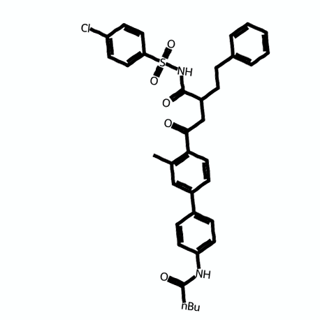 CCCCC(=O)Nc1ccc(-c2ccc(C(=O)CC(CCc3ccccc3)C(=O)NS(=O)(=O)c3ccc(Cl)cc3)c(C)c2)cc1